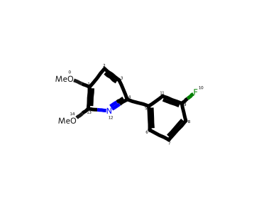 COc1ccc(-c2cccc(F)c2)nc1OC